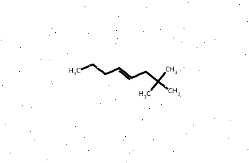 CCCC=CCC(C)(C)C